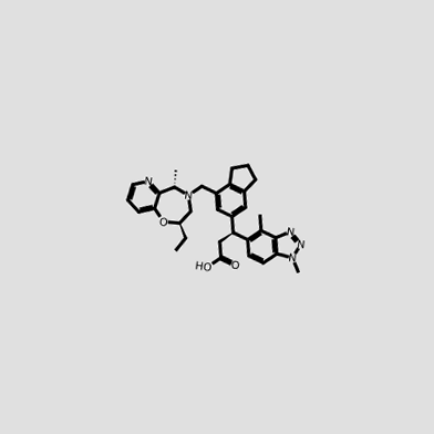 CC[C@@H]1CN(Cc2cc([C@H](CC(=O)O)c3ccc4c(nnn4C)c3C)cc3c2CCC3)[C@@H](C)c2ncccc2O1